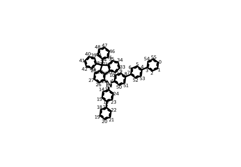 c1ccc(-c2ccc(-c3ccc(N(c4ccc(-c5ccccc5)cc4)c4cccc5c4-c4ccccc4C5(c4ccccc4)c4ccccc4)cc3)cc2)cc1